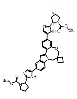 CC(C)(C)OC(=O)N1CCCC1c1ncc(-c2ccc3c(c2)cc2n3CC3(CCC3)COc3cc(-c4cnc([C@H]5C[C@H](F)CN5C(=O)OC(C)(C)C)[nH]4)ccc3-2)[nH]1